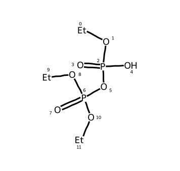 CCOP(=O)(O)OP(=O)(OCC)OCC